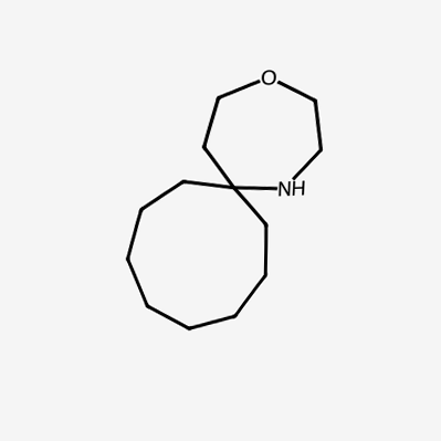 C1CCCCC2(CCC1)CCOCCN2